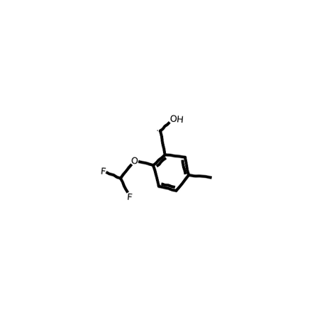 Cc1ccc(OC(F)F)c([CH]O)c1